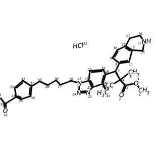 COC(=O)C(C)(C)C(c1ccc2c(c1)CNCC2)c1ccc2c(nnn2CCCCCc2ccc(C(=O)O)cc2)c1C.Cl